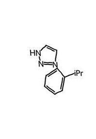 CC(C)c1ccccc1.c1c[nH]nn1